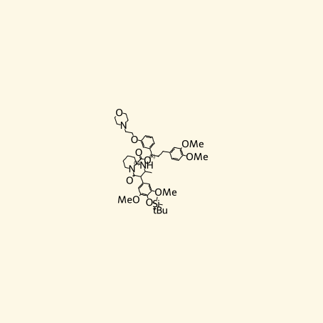 COc1ccc(CC[C@@H](OC(=O)[C@]23CCCCN2C(=O)C(c2cc(OC)c(O[Si](C)(C)C(C)(C)C)c(OC)c2)C(C)N3)c2cccc(OCCN3CCOCC3)c2)cc1OC